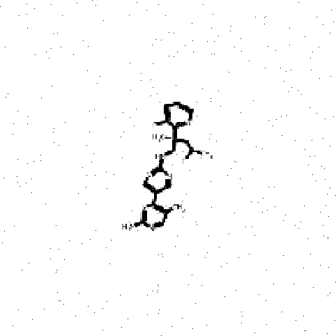 Cc1cnc(N)nc1-c1cnc(NC[C@@](C)(C[C@@H](C)F)c2ncccc2F)nc1